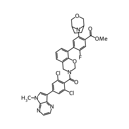 COC(=O)c1cc(F)c(-c2cccc3c2OCN(C(=O)c2c(Cl)cc(-c4cn(C)c5nccnc45)cc2Cl)C3)cc1N1C2CCC1COC2